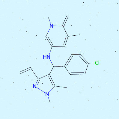 C=Cc1nn(C)c(C)c1C(NC1=CN(C)C(=C)C(C)=C1)c1ccc(Cl)cc1